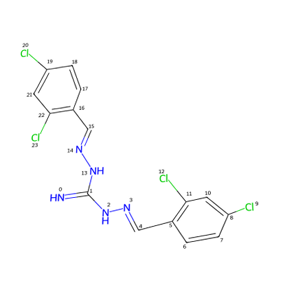 N=C(N/N=C/c1ccc(Cl)cc1Cl)N/N=C/c1ccc(Cl)cc1Cl